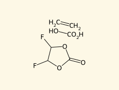 C=C.O=C(O)O.O=C1OC(F)C(F)O1